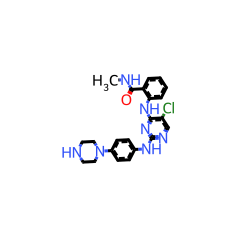 CNC(=O)c1ccccc1Nc1nc(Nc2ccc(N3CCNCC3)cc2)ncc1Cl